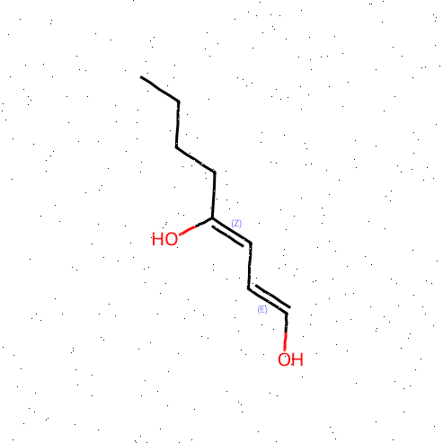 CCCC/C(O)=C/C=C/O